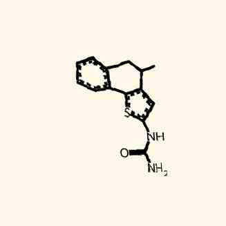 CC1Cc2ccccc2-c2sc(NC(N)=O)cc21